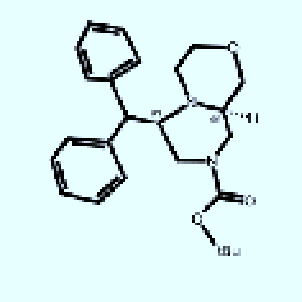 CC(C)(C)OC(=O)N1C[C@@H]2COCCN2[C@H](C(c2ccccc2)c2ccccc2)C1